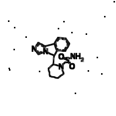 NS(=O)(=O)N1CCCCC1C1c2ccccc2-c2cncn21